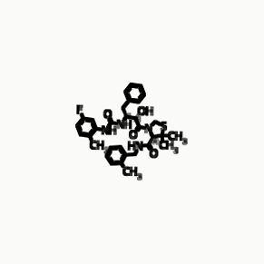 Cc1ccccc1CNC(=O)[C@H]1N(C(=O)[C@@H](O)[C@H](Cc2ccccc2)NC(=O)Nc2cc(F)ccc2C)CSC1(C)C